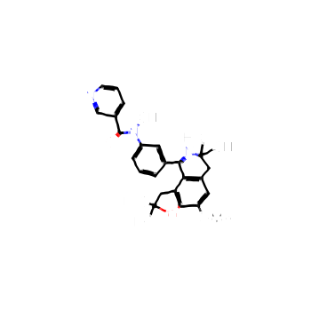 COc1cc2c(c3c1OC(C)(C)C3)C(c1cccc(N(C)C(=O)c3cccnc3)c1)=NC(C)(C)C2